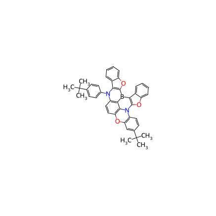 CC(C)(C)c1ccc(N2c3ccc4c5c3B(c3oc6ccccc6c32)c2c(oc3ccccc23)N5c2ccc(C(C)(C)C)cc2O4)cc1